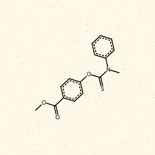 COC(=O)c1ccc(OC(=S)N(C)c2ccccc2)cc1